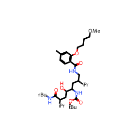 CCCCNC(=O)C(CC(O)C(CC(CNC(=O)c1ccc(C)cc1OCCCCOC)C(C)C)NC(=O)OC(C)(C)C)C(C)C